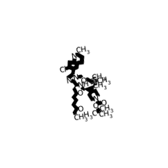 CCC(=O)CCCCC[C@H](NC(=O)[C@H]1CC12CCN(C(=O)OC(C)(C)C)CC2)c1ncc(-c2cc3ccc(C)nc3cc2Cl)n1COCC[Si](C)(C)C